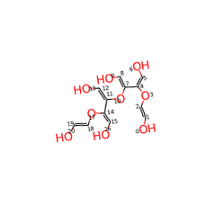 OC=COC(=CO)C(=CO)OC(=CO)C(=CO)OC=CO